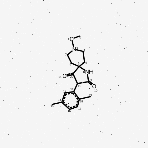 CON1CCC2(CC1)NC(=O)C(c1cc(C)ccc1C)C2=O